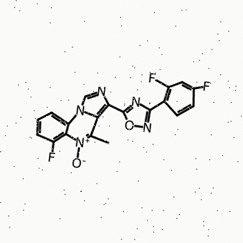 Cc1c2c(-c3nc(-c4ccc(F)cc4F)no3)ncn2c2cccc(F)c2[n+]1[O-]